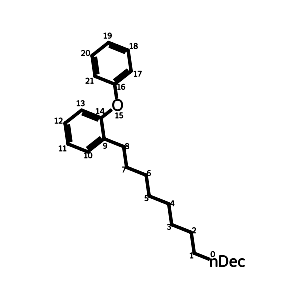 CCCCCCCCCCCCCCCCCCc1ccccc1Oc1ccccc1